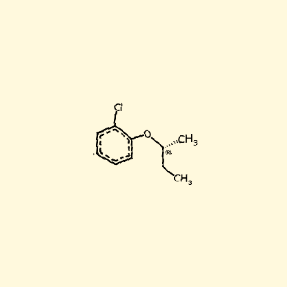 CC[C@@H](C)Oc1cc[c]cc1Cl